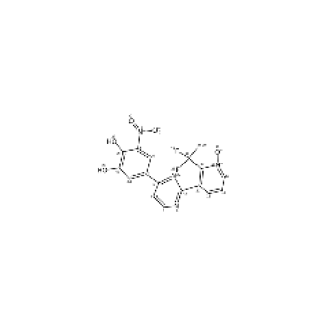 O=[N+]([O-])c1cc(-c2ccnc(-c3ccc[n+]([O-])c3C(F)(F)F)n2)cc(O)c1O